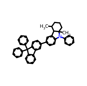 CC1CCCC2(C)C1c1cc(-c3ccc4c(c3)-c3ccccc3C4(c3ccccc3)c3ccccc3)ccc1N2c1ccccc1